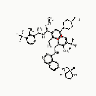 C=N/N=C(/N[C@H](N)c1cccc(C(F)(F)F)c1C)c1cc(N2CCN(C)CC2)ccc1CN[C@@H](Nc1nncc2ccc(N3C[C@@H]4NCC[C@@H]43)cc12)c1cccc(C(F)(F)F)c1C